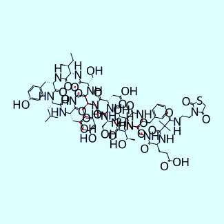 CC[C@H](C)[C@H](NC(=O)[C@H](CO)NC(=O)[C@H](Cc1ccc(O)cc1)NC(=O)[C@H](CC(=O)O)NC(=O)[C@H](CO)NC(=O)[C@@H](NC(=O)[C@H](Cc1ccccc1)NC(=O)[C@@H](NC(=O)CNC(=O)[C@H](CCC(=O)O)NC(=O)C(C)(C)C(=O)NCCN1C(=O)CSC1=O)[C@@H](C)O)[C@@H](C)O)C(=O)N[C@@H](Cc1ccc(O)cc1)C(=O)N[C@@H](CC(C)C)C(=O)N[C@@H](CC(=O)O)C(=O)N[C@H](C)CCCCN